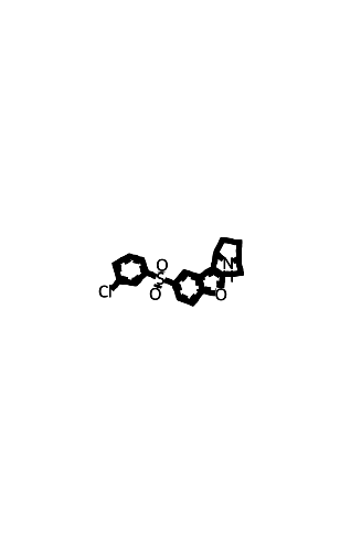 O=S(=O)(c1cccc(Cl)c1)c1ccc2oc3c(c2c1)C1CCC(C3)N1